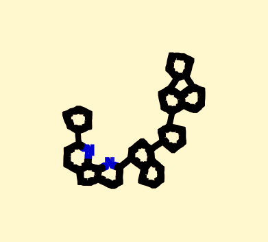 c1ccc(-c2ccc3ccc4ccc(-c5ccc(-c6cccc(-c7ccc8c9c(cccc79)-c7ccccc7-8)c6)c6ccccc56)nc4c3n2)cc1